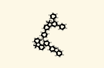 CC1(C)c2ccccc2-c2c(N(c3ccc(-c4ccc5c(c4)-c4cc(-c6ccccc6)cc(-c6ccccc6)c4C5(C)C)cc3)c3ccc(-c4ccc5c(c4)sc4ccccc45)cc3)cccc21